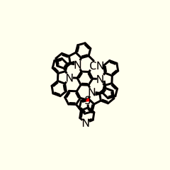 Cc1cccc2c3ccccc3n(-c3c(C#N)c(-n4c5ccccc5c5cccc(C)c54)c(-n4c5ccccc5c5cccc(C)c54)c(-c4cccc5c4sc4ccncc45)c3-n3c4ccccc4c4cccc(C)c43)c12